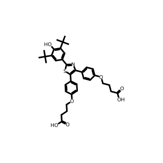 CC(C)(C)c1cc(-c2nc(-c3ccc(OCCCC(=O)O)cc3)c(-c3ccc(OCCCC(=O)O)cc3)s2)cc(C(C)(C)C)c1O